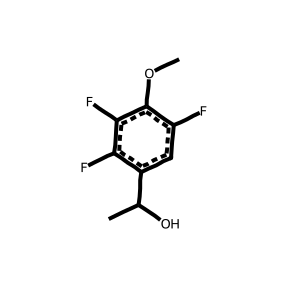 COc1c(F)cc(C(C)O)c(F)c1F